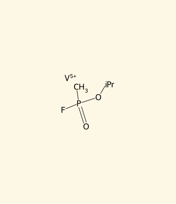 CC(C)OP(C)(=O)F.[V+5]